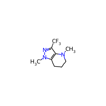 CN1CCCc2c1c(C(F)(F)F)nn2C